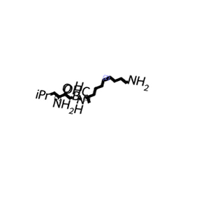 CC(C)C[C@H](N)C(=O)CBN[C@](C)(C=O)CCC/C=C\CCCN